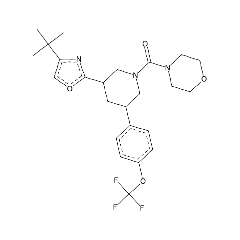 CC(C)(C)c1coc(C2CC(c3ccc(OC(F)(F)F)cc3)CN(C(=O)N3CCOCC3)C2)n1